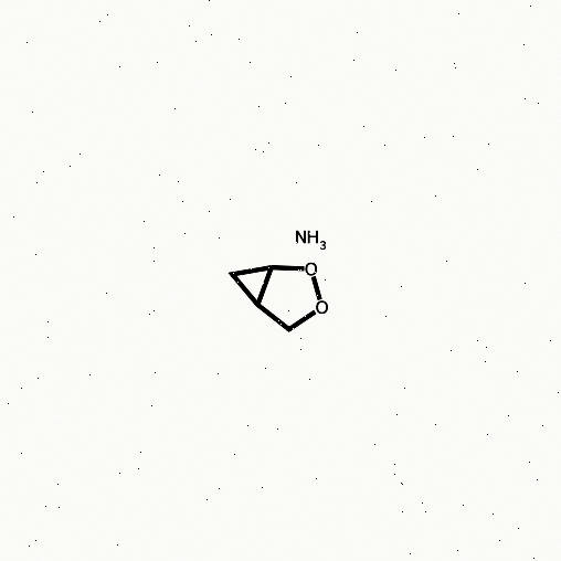 C1OOC2CC12.N